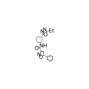 CCc1nnc(C2CCCC(NC(=O)c3cc(-c4ccccc4)on3)C2)o1